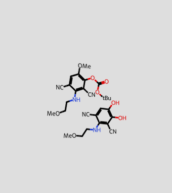 COCCNc1c(C#N)cc(O)c(O)c1C#N.COCCNc1c(C#N)cc(OC)c(OC(=O)OC(C)(C)C)c1C#N